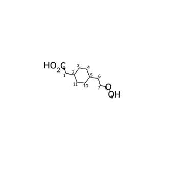 O=C(O)CC1CCC(CCOO)CC1